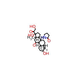 C[C@]12CC[C@@H](O)C[C@H]1CC[C@@H]1[C@@H]2C(=O)C[C@@]2(C)[C@H]1CC[C@]2(O)C(=O)CO.O=C1CCCN1